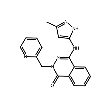 Cc1cc(Nc2nn(Cc3ccccn3)c(=O)c3ccccc23)[nH]n1